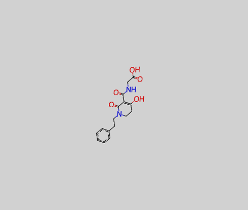 O=C(O)CNC(=O)C1=C(O)CCN(CCc2ccccc2)C1=O